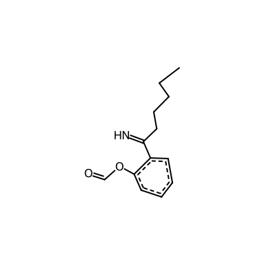 CCCCCC(=N)c1ccccc1OC=O